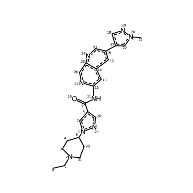 CCN1CCC(n2cc(C(=O)Nc3cc4cc(-c5cnn(C)c5)cnc4cn3)cn2)CC1